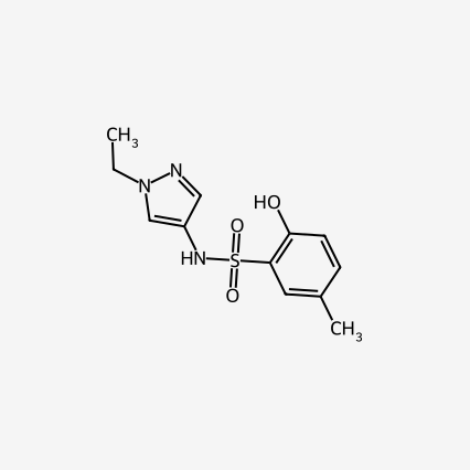 CCn1cc(NS(=O)(=O)c2cc(C)ccc2O)cn1